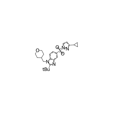 CC(C)(C)c1nc2cc(S(=O)(=O)n3ccc(C4CC4)n3)ccc2n1CC1CCOCC1